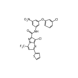 O=C(Nc1cc(Oc2cccc(Cl)c2)cc([N+](=O)[O-])c1)c1nn2c(C(F)(F)F)cc(-c3cccs3)nc2c1Cl